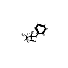 CC(=O)C(Br)(Cc1ccccc1)C(=O)O